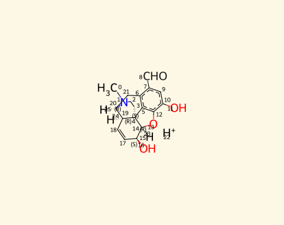 CN1CC[C@]23c4c5c(C=O)cc(O)c4O[C@H]2[C@@H](O)C=C[C@H]3[C@H]1C5.[H+]